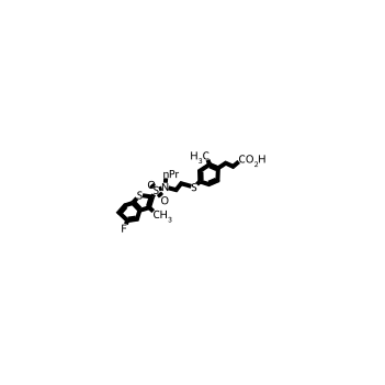 CCCN(CCSc1ccc(CCC(=O)O)c(C)c1)S(=O)(=O)c1sc2ccc(F)cc2c1C